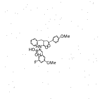 COc1ccc(C(=O)CC(Cc2ccccc2)C(=O)N[C@@H](Cc2cc(F)cc(OC)c2)B(O)O)cc1